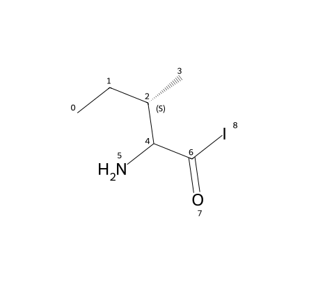 CC[C@H](C)C(N)C(=O)I